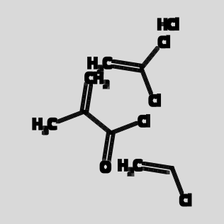 C=C(C)C(=O)Cl.C=C(Cl)Cl.C=CCl.Cl